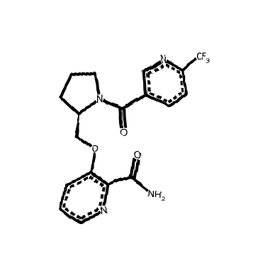 NC(=O)c1ncccc1OC[C@H]1CCCN1C(=O)c1ccc(C(F)(F)F)nc1